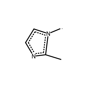 [CH2]n1ccnc1C